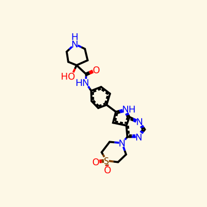 O=C(Nc1ccc(-c2cc3c(N4CCS(=O)(=O)CC4)ncnc3[nH]2)cc1)C1(O)CCNCC1